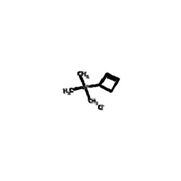 C[N+](C)(C)C1C=CC1.[Cl-]